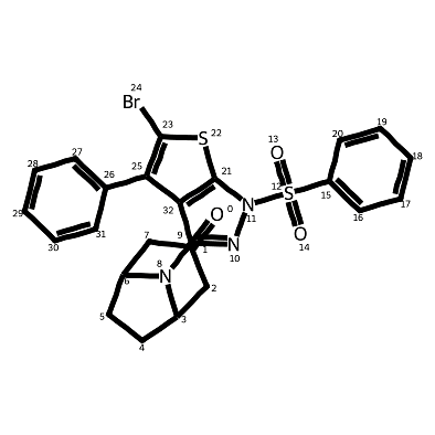 O=C1CC2CCC(C1)N2c1nn(S(=O)(=O)c2ccccc2)c2sc(Br)c(-c3ccccc3)c12